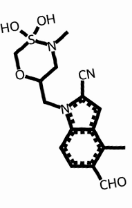 Cc1c(C=O)ccc2c1cc(C#N)n2CC1CN(C)S(O)(O)CO1